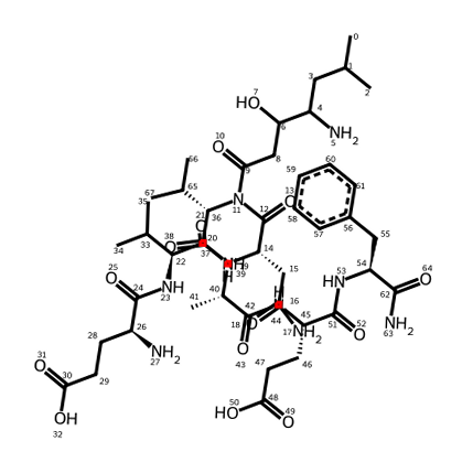 CC(C)CC(N)C(O)CC(=O)N(C(=O)[C@H](CC(N)=O)NC(=O)[C@@H](NC(=O)[C@@H](N)CCC(=O)O)C(C)C)[C@H](C(=O)N[C@@H](C)C(=O)N[C@@H](CCC(=O)O)C(=O)N[C@@H](Cc1ccccc1)C(N)=O)C(C)C